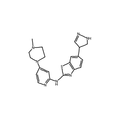 CN1CCN(c2ccnc(Nc3nc4ccc(C5C=NNC5)cc4s3)c2)CC1